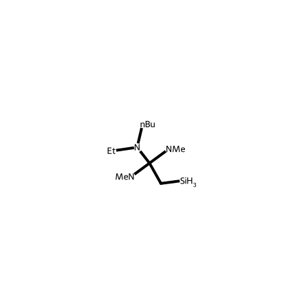 CCCCN(CC)C(C[SiH3])(NC)NC